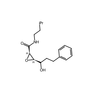 CC(C)CCNC(=O)[C@@H]1O[C@@H]1C(O)CCc1ccccc1